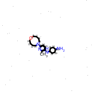 Cc1nc(N2CCCCOCCCC2)ccc1NC1CCC(N)CC1